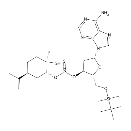 C=C(C)[C@H]1CC[C@@](C)(S)[C@H](O[PH](=S)O[C@H]2C[C@H](n3cnc4c(N)ncnc43)O[C@@H]2CO[Si](C)(C)C(C)(C)C)C1